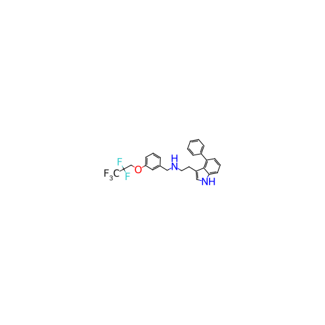 FC(F)(F)C(F)(F)COc1cccc(CNCCc2c[nH]c3cccc(-c4ccccc4)c23)c1